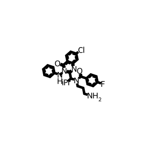 CC(C)C(c1nc2cc(Cl)ccc2c(=O)n1Nc1ccccc1)N(CCCN)C(=O)c1ccc(F)cc1